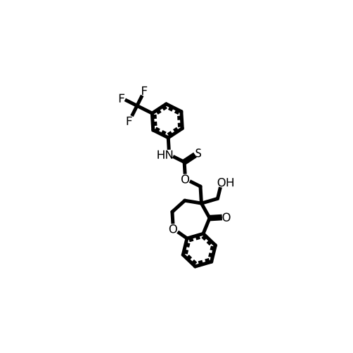 O=C1c2ccccc2OCCC1(CO)COC(=S)Nc1cccc(C(F)(F)F)c1